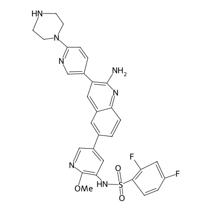 COc1ncc(-c2ccc3nc(N)c(-c4ccc(N5CCNCC5)nc4)cc3c2)cc1NS(=O)(=O)c1ccc(F)cc1F